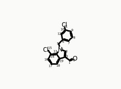 O=Cc1cn(Cc2cccc(Cl)c2)c2c(Cl)cccc12